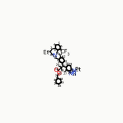 CC[C@H]1Cc2cccc(C(F)(F)F)c2CN(Cc2cc([C@@H](c3ccc4c(nnn4CC)c3C)C(C)(C)C(=O)OCc3ccccc3)ccc2C)C1